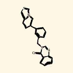 O=c1c2ccccc2ncn1Cc1cccc(-c2ccc3cncn3c2)c1